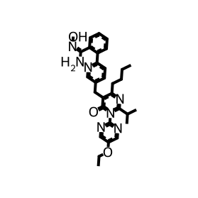 CCCCc1nc(C(C)C)n(-c2ncc(OCC)cn2)c(=O)c1Cc1ccc(-c2ccccc2/C(N)=N\O)nc1